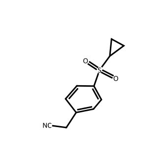 N#CCc1ccc(S(=O)(=O)C2CC2)cc1